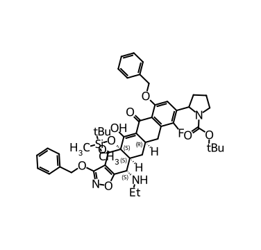 CCN[C@@H]1c2onc(OCc3ccccc3)c2C(=O)[C@@]2(O[Si](C)(C)C(C)(C)C)C(O)=C3C(=O)c4c(OCc5ccccc5)cc(C5CCCN5C(=O)OC(C)(C)C)c(F)c4C[C@H]3C[C@@H]12